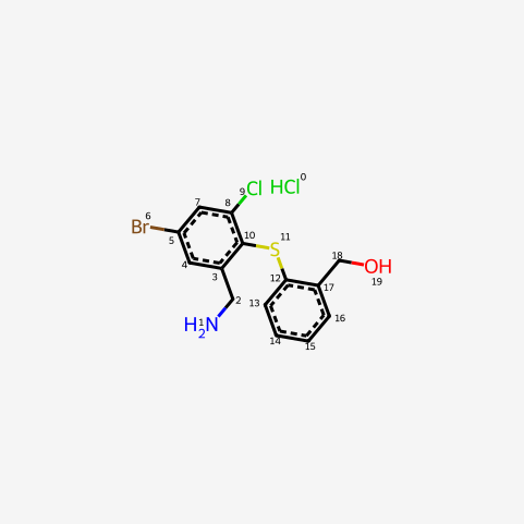 Cl.NCc1cc(Br)cc(Cl)c1Sc1ccccc1CO